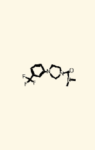 CN(C)C(=O)N1CCN(c2cccc(C(F)(F)F)c2)CC1